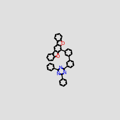 c1ccc(-c2nc(-c3ccccc3)nc(-c3cccc(-c4cccc(-c5c6oc7ccccc7c6cc6c5oc5ccccc56)c4)c3)n2)cc1